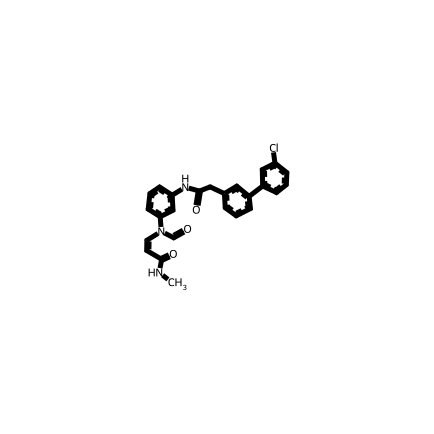 CNC(=O)/C=C\N(C=O)c1cccc(NC(=O)Cc2cccc(-c3cccc(Cl)c3)c2)c1